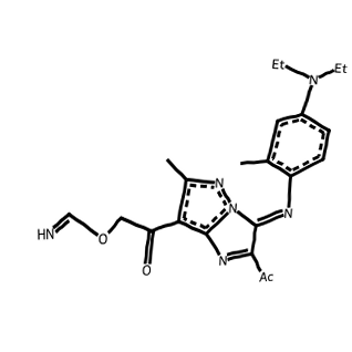 CCN(CC)c1ccc(/N=C2/C(C(C)=O)=Nc3c(C(=O)COC=N)c(C)nn32)c(C)c1